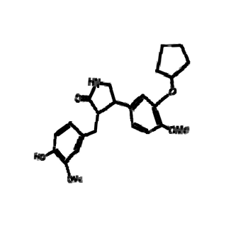 COc1cc(CC2C(=O)NCC2c2ccc(OC)c(OC3CCCC3)c2)ccc1O